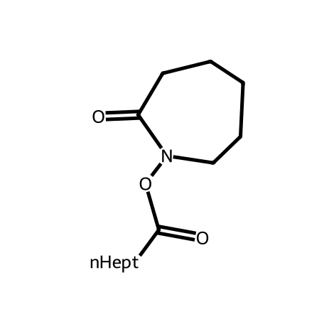 CCCCCCCC(=O)ON1CCCCCC1=O